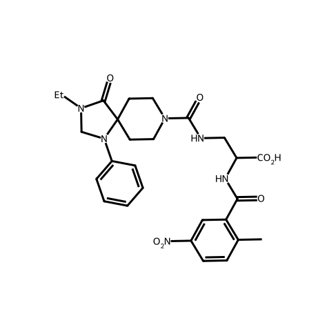 CCN1CN(c2ccccc2)C2(CCN(C(=O)NCC(NC(=O)c3cc([N+](=O)[O-])ccc3C)C(=O)O)CC2)C1=O